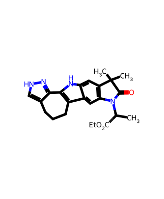 CCOC(=O)C(C)N1C(=O)C(C)(C)c2cc3[nH]c4c(c3cc21)CCCc1c[nH]nc1-4